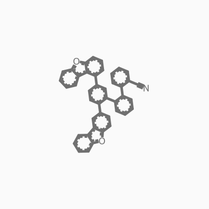 N#Cc1ccccc1-c1ccccc1-c1cc(-c2cccc3oc4ccccc4c23)ccc1-c1ccc2oc3ccccc3c2c1